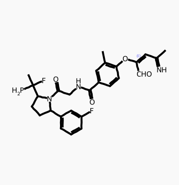 CC(=N)/C=C(\C=O)Oc1ccc(C(=O)NCC(=O)N2C(c3cccc(F)c3)CCC2C(C)(F)P)cc1C